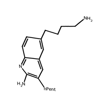 CCCCCc1cc2cc(CCCCN)ccc2nc1N